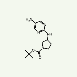 CC(C)(C)OC(=O)N1CCC(Nc2ncc(N)cn2)C1